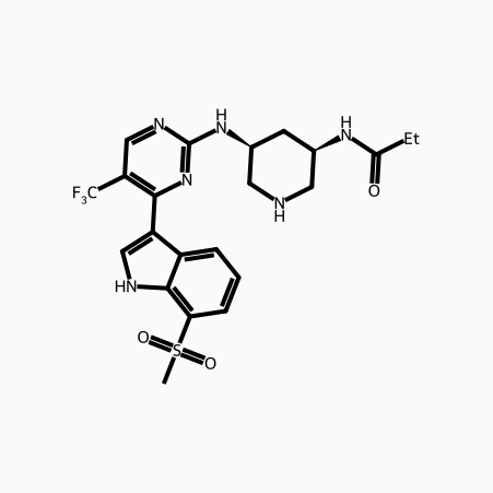 CCC(=O)N[C@H]1CNC[C@@H](Nc2ncc(C(F)(F)F)c(-c3c[nH]c4c(S(C)(=O)=O)cccc34)n2)C1